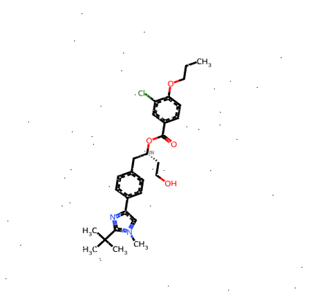 CCCOc1ccc(C(=O)O[C@H](CCO)Cc2ccc(-c3cn(C)c(C(C)(C)C)n3)cc2)cc1Cl